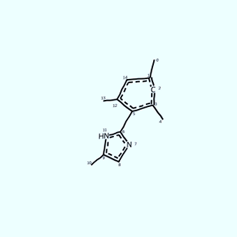 Cc1cc(C)c(-c2ncc(C)[nH]2)c(C)c1